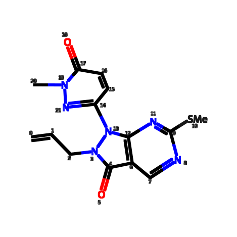 C=CCn1c(=O)c2cnc(SC)nc2n1-c1ccc(=O)n(C)n1